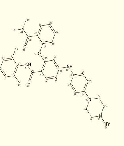 Cc1cccc(C)c1NC(=O)c1cnc(Nc2ccc(N3CCN(C(C)C)CC3)cc2)nc1Oc1ccccc1C(=O)N(C)C